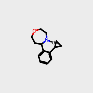 CC(C)(C)N1CCOCCC1c1ccccc1C1CC1